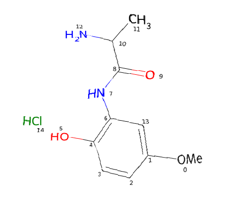 COc1ccc(O)c(NC(=O)C(C)N)c1.Cl